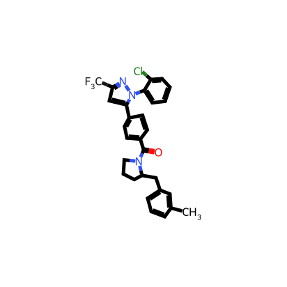 Cc1cccc(CC2CCCN2C(=O)c2ccc(-c3cc(C(F)(F)F)nn3-c3ccccc3Cl)cc2)c1